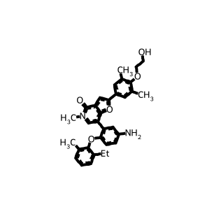 CCc1cccc(C)c1Oc1ccc(N)cc1-c1cn(C)c(=O)c2cc(-c3cc(C)c(OCCO)c(C)c3)oc12